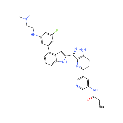 CN(C)CCNc1cc(F)cc(-c2cccc3[nH]c(-c4n[nH]c5ccc(-c6cncc(NC(=O)CC(C)(C)C)c6)nc45)cc23)c1